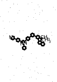 CC1(C)c2ccc(-c3cccc(-c4ccc(-c5cc(-c6ccc(-c7ccncc7)cc6)nc(-c6ccccc6)n5)cc4)c3)cc2-c2ccc3ccccc3c21